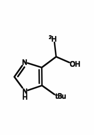 [2H]C(O)c1nc[nH]c1C(C)(C)C